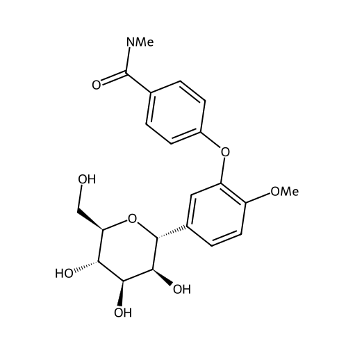 CNC(=O)c1ccc(Oc2cc([C@H]3O[C@H](CO)[C@@H](O)[C@H](O)[C@@H]3O)ccc2OC)cc1